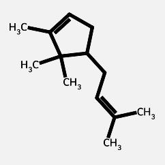 CC(C)=CCC1CC=C(C)C1(C)C